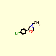 CCN1CCO[C@@H](c2ccc(Br)cc2)C1